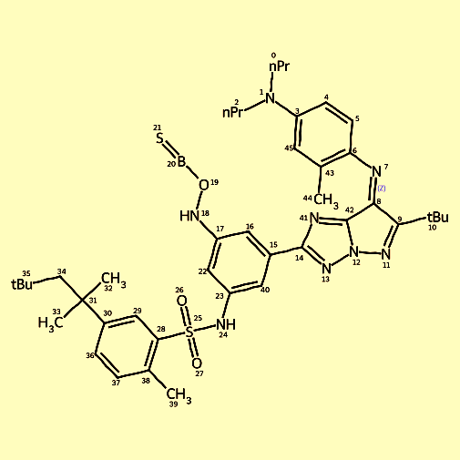 CCCN(CCC)c1ccc(/N=C2/C(C(C)(C)C)=Nn3nc(-c4cc(NOB=S)cc(NS(=O)(=O)c5cc(C(C)(C)CC(C)(C)C)ccc5C)c4)nc32)c(C)c1